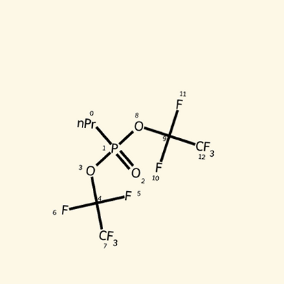 CCCP(=O)(OC(F)(F)C(F)(F)F)OC(F)(F)C(F)(F)F